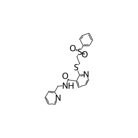 O=C(NCc1ccccn1)c1cccnc1SCCS(=O)(=O)c1ccccc1